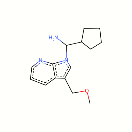 COCc1cn(C(N)C2CCCC2)c2ncccc12